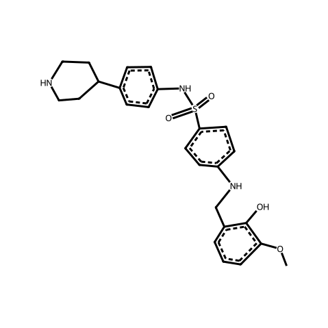 COc1cccc(CNc2ccc(S(=O)(=O)Nc3ccc(C4CCNCC4)cc3)cc2)c1O